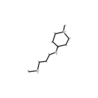 [CH2]N1CCC(OCCCOC)CC1